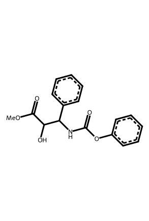 COC(=O)C(O)C(NC(=O)Oc1ccccc1)c1ccccc1